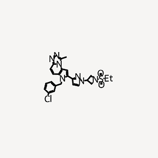 CCS(=O)(=O)N1CC(n2ccc(-c3cc4c(ccc5nnc(C)n54)n3Cc3cccc(Cl)c3)n2)C1